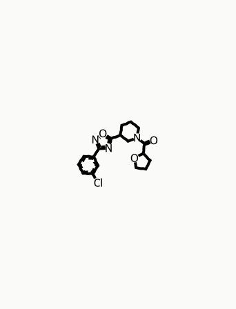 O=C(C1CCCO1)N1CCCC(c2nc(-c3cccc(Cl)c3)no2)C1